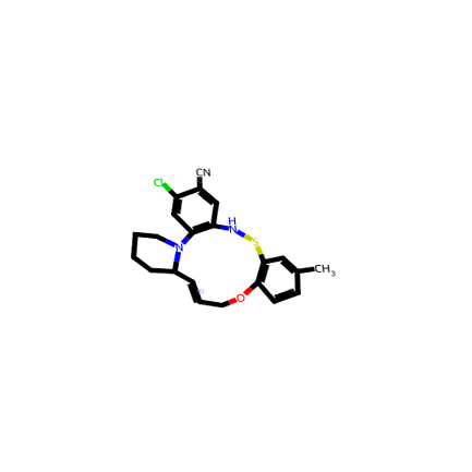 Cc1ccc2c(c1)SNc1cc(C#N)c(Cl)cc1N1CCCCC1/C=C/CO2